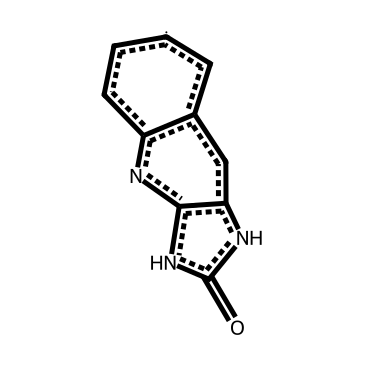 O=c1[nH]c2cc3c[c]ccc3nc2[nH]1